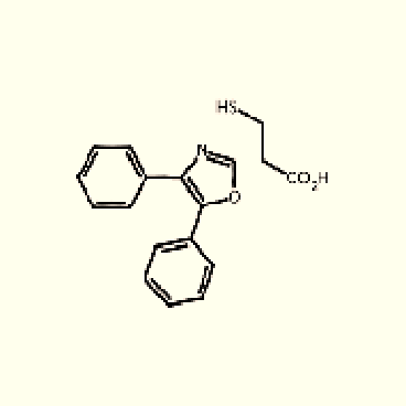 O=C(O)CCS.c1ccc(-c2ncoc2-c2ccccc2)cc1